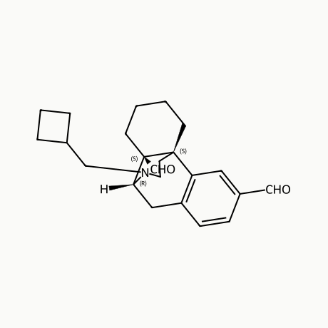 O=Cc1ccc2c(c1)[C@@]13CCCC[C@@]1(C=O)[C@@H](C2)N(CC1CCC1)CC3